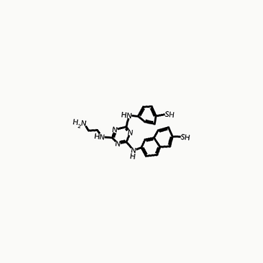 NCCNc1nc(Nc2ccc(S)cc2)nc(Nc2ccc3cc(S)ccc3c2)n1